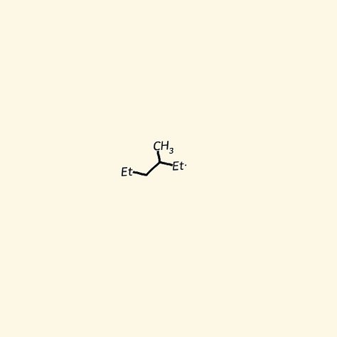 C[CH]C(C)CCC